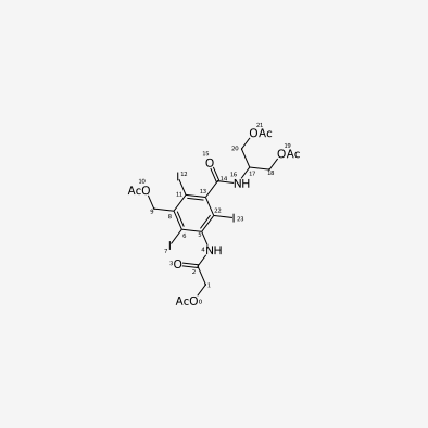 CC(=O)OCC(=O)Nc1c(I)c(COC(C)=O)c(I)c(C(=O)NC(COC(C)=O)COC(C)=O)c1I